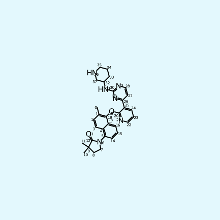 Cc1ccc2c(N3CCC(C)(C)C3=O)cccc2c1Oc1ncccc1-c1ccnc(NC2CCCNC2)n1